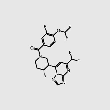 C[C@@H]1CCN(C(=O)c2ccc(OC(F)F)c(F)c2)C[C@H]1c1cc(C(F)F)nc2ncnn12